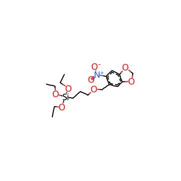 CCO[Si](CCCOCc1cc2c(cc1[N+](=O)[O-])OCO2)(OCC)OCC